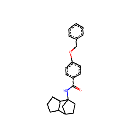 O=C(NC12CCC(C1)C1CCCC12)c1ccc(OCc2ccccc2)cc1